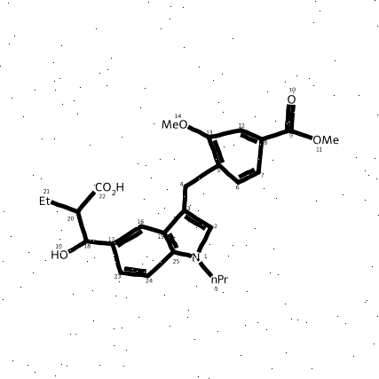 CCCn1cc(Cc2ccc(C(=O)OC)cc2OC)c2cc(C(O)C(CC)C(=O)O)ccc21